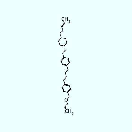 C=CCOCc1ccc(CCCCc2ccc(CC[C@H]3CC[C@H](CCC=CC)CC3)cc2)cc1